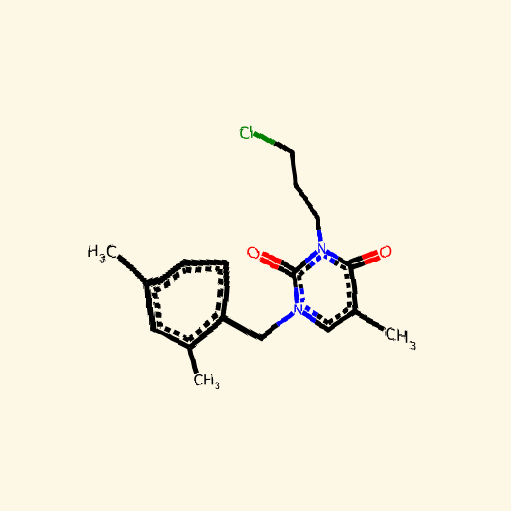 Cc1ccc(Cn2cc(C)c(=O)n(CCCCl)c2=O)c(C)c1